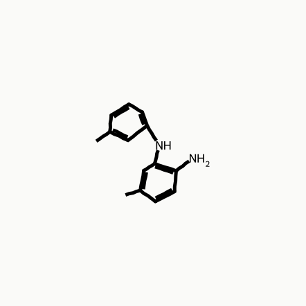 Cc1cccc(Nc2cc(C)ccc2N)c1